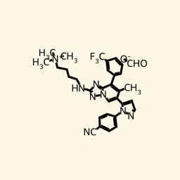 Cc1c(-c2ccnn2-c2ccc(C#N)cc2)cn2nc(NCCCC[N+](C)(C)C)nc2c1-c1cccc(C(F)(F)F)c1.O=C[O-]